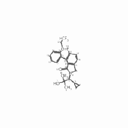 CC(C)(O)C(C1CC1)N1Cc2ccc(F)c(-c3ccccc3OCC(F)(F)F)c2C1=O